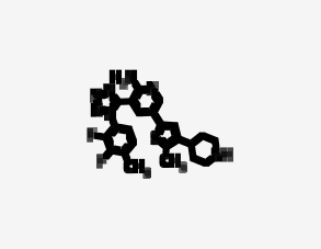 Cc1ccc(-n2nnnc2-c2cc(-c3cc(C4CCNCC4)c(C)s3)cnc2N)c(F)c1F